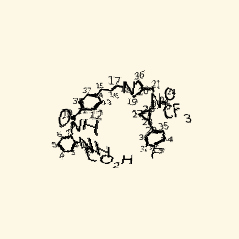 O=C(O)Nc1ccccc1NC(=O)c1ccc(CCCN2CC(CN(C(=O)C(F)(F)F)C3CC3c3ccc(F)cc3)C2)cc1